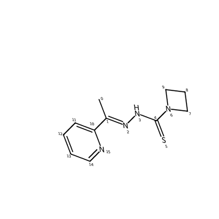 C/C(=N\NC(=S)N1CCC1)c1ccccn1